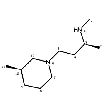 CN[C@@H](C)CCN1CCC[C@@H](C)C1